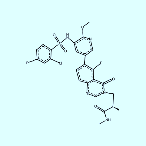 CNC(=O)[C@H](C)Cn1cnc2ccc(-c3cnc(OC)c(NS(=O)(=O)c4ccc(F)cc4Cl)c3)c(F)c2c1=O